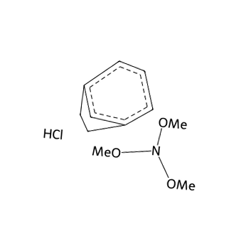 CON(OC)OC.Cl.c1cc2cc(c1)CC2